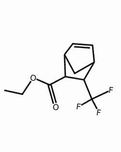 CCOC(=O)C1C2C=CC(C2)C1C(F)(F)F